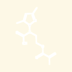 C=C(C)C(=O)OCCN(C(=O)O)n1nc(C)cc1C